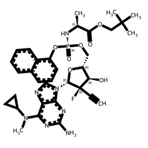 C#C[C@@]1(F)[C@H](O)[C@@H](CO[P@](=O)(N[C@@H](C)C(=O)OCC(C)(C)C)Oc2cccc3ccccc23)O[C@H]1n1cnc2c(N(C)C3CC3)nc(N)nc21